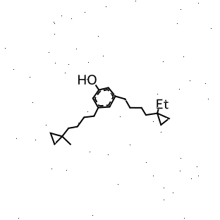 CCC1(CCCCc2cc(O)cc(CCCCC3(C)CC3)c2)CC1